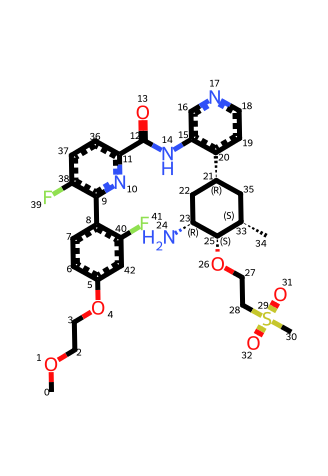 COCCOc1ccc(-c2nc(C(=O)Nc3cnccc3[C@H]3C[C@@H](N)[C@@H](OCCS(C)(=O)=O)[C@@H](C)C3)ccc2F)c(F)c1